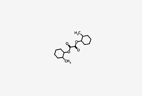 CC1CCCCC1OC(=O)C(=O)OC1CCCCC1C